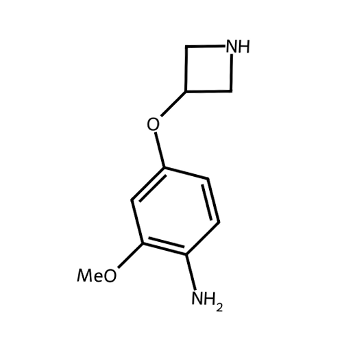 COc1cc(OC2CNC2)ccc1N